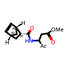 COC(=O)CC(NC(=O)[C@@H]1C[C@@H]2C=C[C@H]1C2)C(C)=O